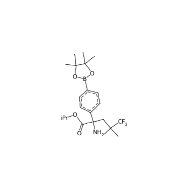 CC(C)OC(=O)C(N)(CC(C)(C)C(F)(F)F)c1ccc(B2OC(C)(C)C(C)(C)O2)cc1